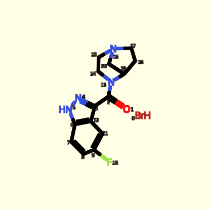 Br.O=C(c1n[nH]c2ccc(F)cc12)N1CCN2CCC1C2